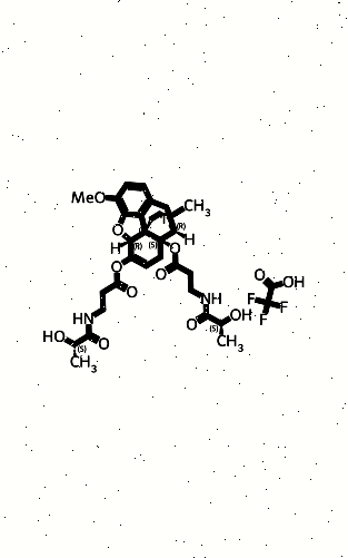 COc1ccc2c3c1O[C@H]1C(OC(=O)CCNC(=O)[C@H](C)O)=CC[C@@]4(OC(=O)CCNC(=O)[C@H](C)O)[C@@H](C2)N(C)CC[C@]314.O=C(O)C(F)(F)F